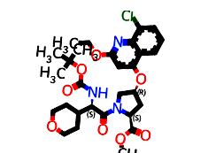 CCOc1cc(O[C@@H]2C[C@@H](C(=O)OC)N(C(=O)[C@@H](NC(=O)OC(C)(C)C)C3CCOCC3)C2)c2cccc(Cl)c2n1